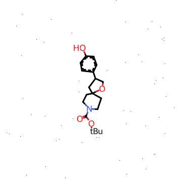 CC(C)(C)OC(=O)N1CCC2(CC1)CC(c1ccc(O)cc1)CO2